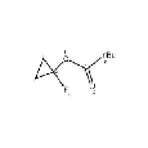 CCCCC(=O)OC1(F)CC1